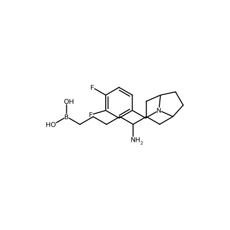 NC(CCCCB(O)O)C1CC2CCC(C1)N2Cc1ccc(F)c(F)c1